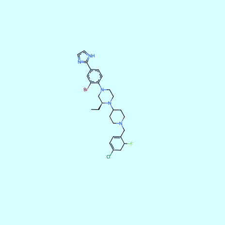 CC[C@H]1CN(c2ccc(-c3ncc[nH]3)cc2Br)CCN1C1CCN(CC2=CC=C(Cl)CC2F)CC1